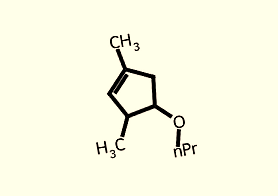 CCCOC1CC(C)=CC1C